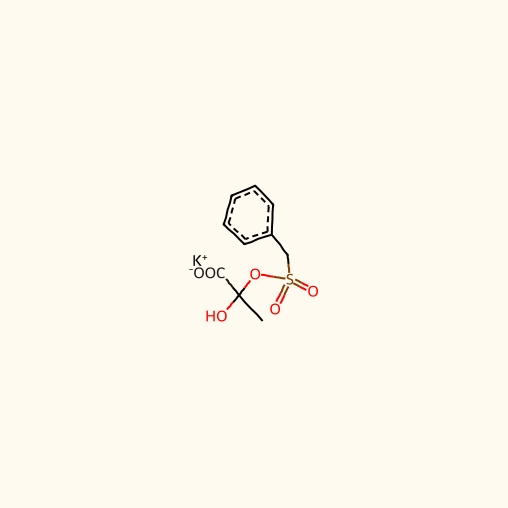 CC(O)(OS(=O)(=O)Cc1ccccc1)C(=O)[O-].[K+]